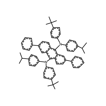 CC(C)c1ccc(N(c2ccc(C(C)(C)C)cc2)c2c3ccc(-c4ccccc4)cc3c(N(c3ccc(C(C)C)cc3)c3ccc(C(C)(C)C)cc3)c3ccc(-c4ccccc4)cc23)cc1